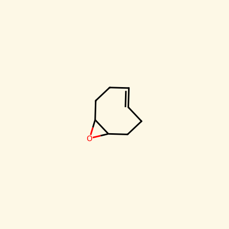 C1=C/CCC2OC2CC/1